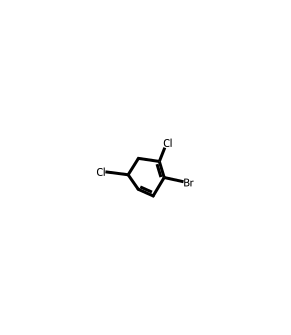 ClC1=C(Br)C=CC(Cl)C1